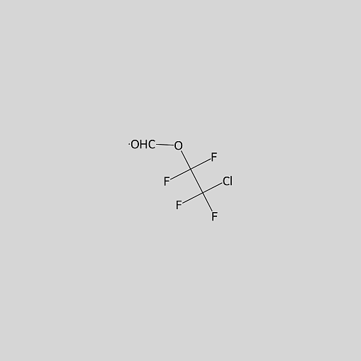 O=[C]OC(F)(F)C(F)(F)Cl